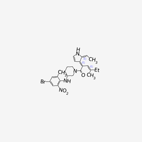 C/C=c1/[nH]cc/c1=C(/C=C(\C)CC)C(=O)N1CCCC(Nc2c(C)cc(Br)cc2[N+](=O)[O-])C1